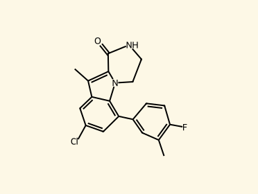 Cc1cc(-c2cc(Cl)cc3c(C)c4n(c23)CCNC4=O)ccc1F